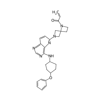 C=CC(=O)N1CCC12CN(c1ccc3ncnc(NC4CCC(Oc5ccccc5)CC4)c3n1)C2